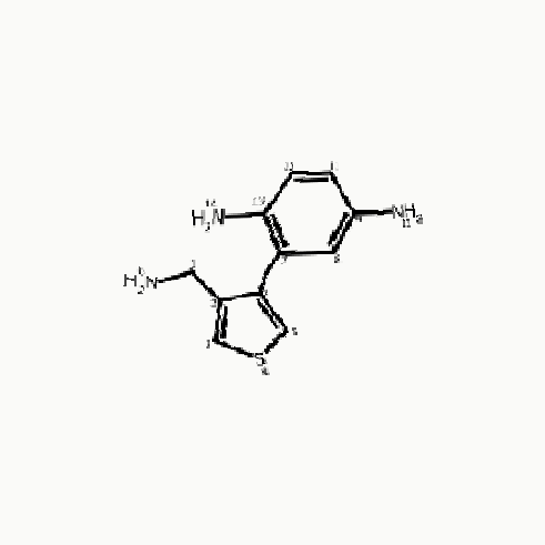 NCc1cscc1-c1cc(N)ccc1N